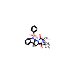 CCCC12CC34SC(C)S[C@](C)(C(=O)N3[C@H]1N(S(=O)(=O)c1ccccc1)c1ccccc12)N(C)C4=O